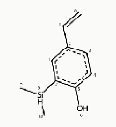 C=Cc1ccc(O)c([SiH](C)C)c1